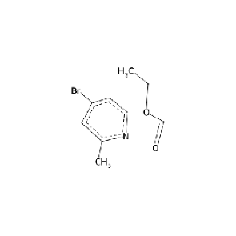 CCOC=O.Cc1cc(Br)ccn1